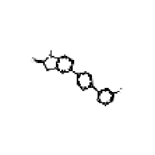 O=C1Cc2cc(-c3ccc(-c4cccc(Cl)c4)cc3)ccc2N1